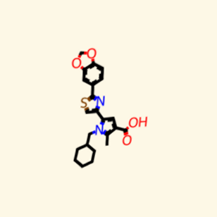 Cc1c(C(=O)O)cc(-c2csc(-c3ccc4c(c3)OCO4)n2)n1CC1CCCCC1